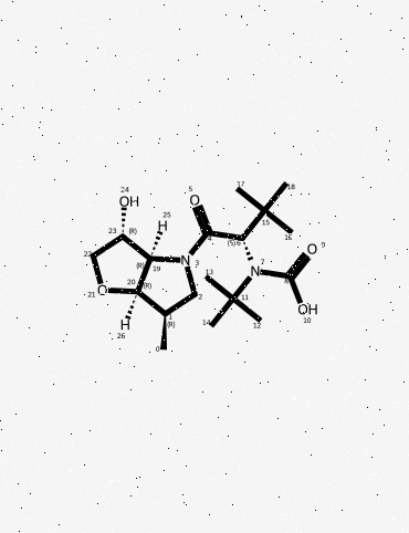 C[C@@H]1CN(C(=O)[C@@H](N(C(=O)O)C(C)(C)C)C(C)(C)C)[C@H]2[C@@H]1OC[C@@H]2O